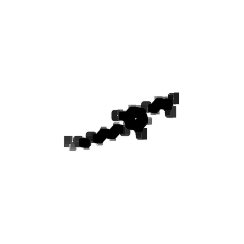 FC(F)(F)COCCCCOc1c(Cl)cc(OCC=C(Cl)Cl)cc1Cl